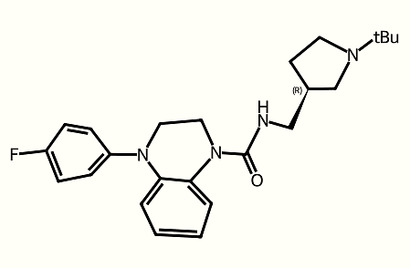 CC(C)(C)N1CC[C@H](CNC(=O)N2CCN(c3ccc(F)cc3)c3ccccc32)C1